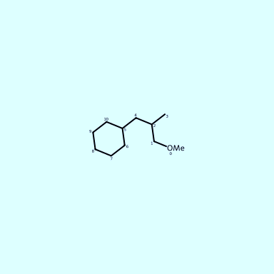 COCC(C)CC1CCCCC1